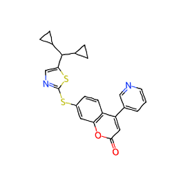 O=c1cc(-c2cccnc2)c2ccc(Sc3ncc(C(C4CC4)C4CC4)s3)cc2o1